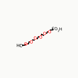 C#CCOCCOCCOCCOCCOCCOCCC(=O)O